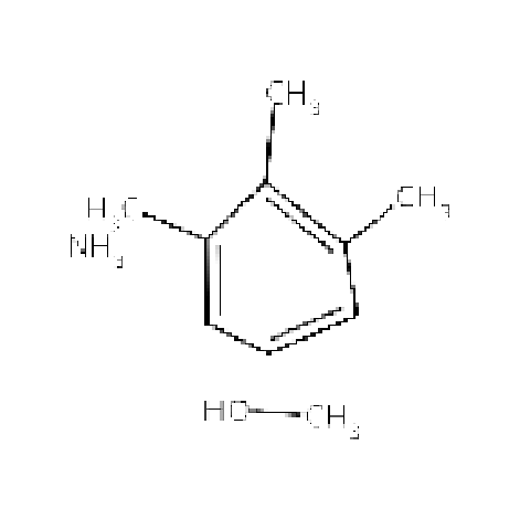 CO.Cc1cccc(C)c1C.N